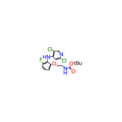 CC(C)(C)OC(=O)NCCOc1cccc(F)c1Nc1cc(Cl)ncc1Cl